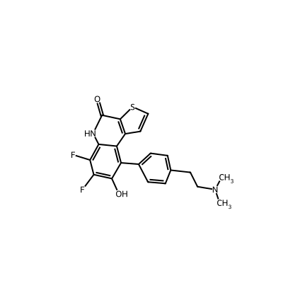 CN(C)CCc1ccc(-c2c(O)c(F)c(F)c3[nH]c(=O)c4sccc4c23)cc1